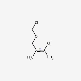 C/C(Cl)=C(\C)COCCl